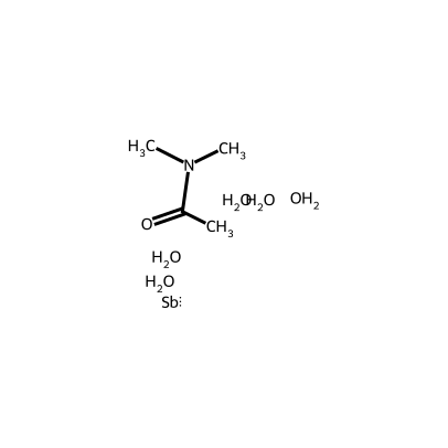 CC(=O)N(C)C.O.O.O.O.O.[Sb]